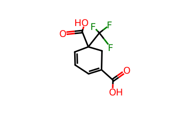 O=C(O)C1=CC=CC(C(=O)O)(C(F)(F)F)C1